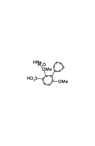 COc1ccc(S(=O)(=O)O)c(OC)c1-c1ccccc1.O.[NaH]